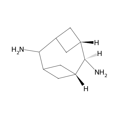 NC1C2C[C@H](C2)[C@@H](N)[C@@H]2CC1C2